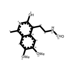 COc1cc2c(C)nc(O)c(CCNC=O)c2cc1OC